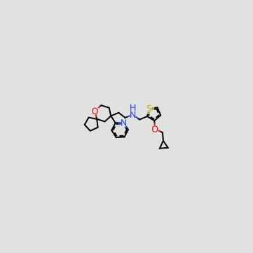 c1ccc(C2(CCNCc3sccc3OCC3CC3)CCOC3(CCCC3)C2)nc1